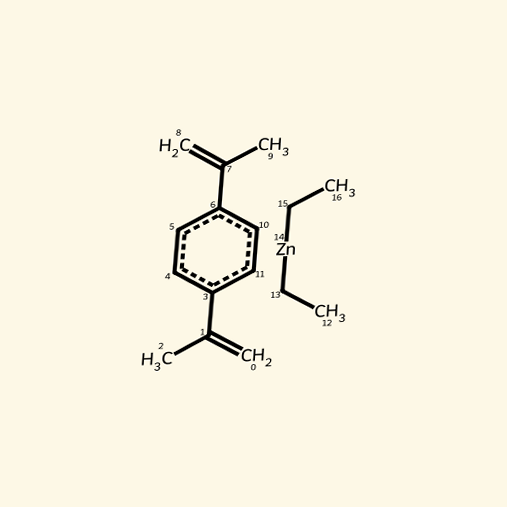 C=C(C)c1ccc(C(=C)C)cc1.C[CH2][Zn][CH2]C